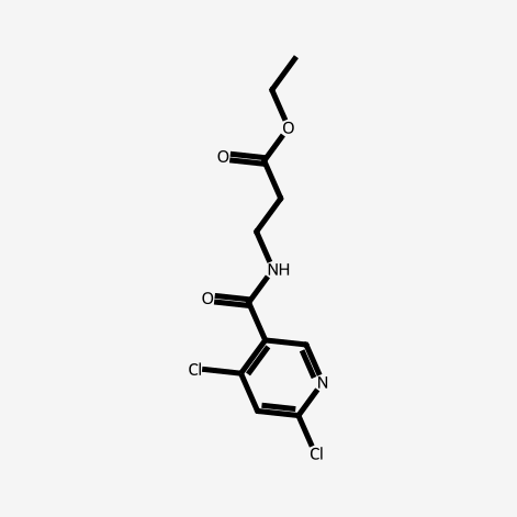 CCOC(=O)CCNC(=O)c1cnc(Cl)cc1Cl